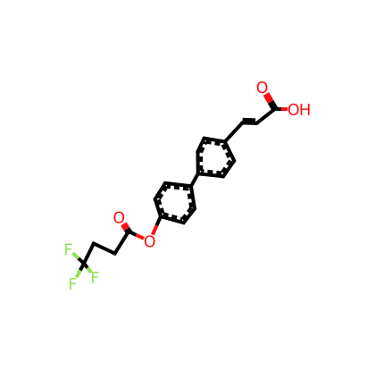 O=C(O)/C=C/c1ccc(-c2ccc(OC(=O)CCC(F)(F)F)cc2)cc1